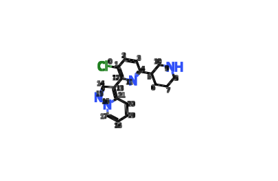 Clc1ccc(C2CCCNC2)nc1-c1cnn2ccccc12